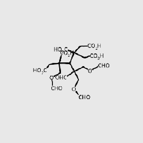 O=COCC(C=O)(COC=O)C(C(COC=O)(CC(=O)O)C(=O)O)C(CC(=O)O)(CC(=O)O)C(=O)O